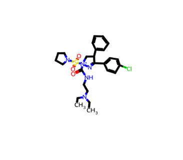 CCN(CC)CCNC(=O)[N+]1(S(=O)(=O)N2CCCC2)CC(c2ccccc2)C(c2ccc(Cl)cc2)=N1